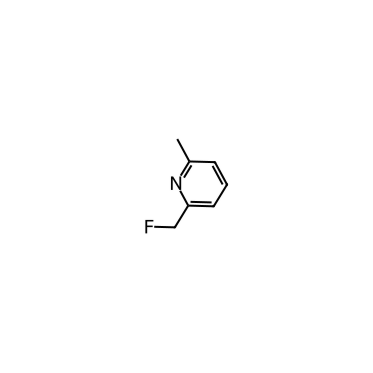 Cc1cccc(CF)n1